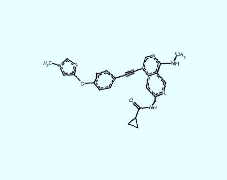 CNc1ncc(C#Cc2ccc(Oc3cn(C)cn3)cc2)c2cc(NC(=O)C3CC3)ncc12